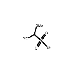 CCS(=O)(=O)C(C#N)OC